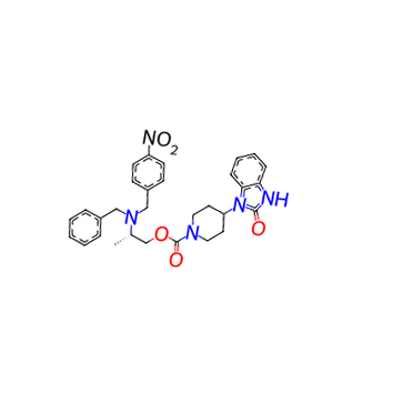 C[C@@H](COC(=O)N1CCC(n2c(=O)[nH]c3ccccc32)CC1)N(Cc1ccccc1)Cc1ccc([N+](=O)[O-])cc1